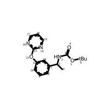 CC(NC(=O)OC(C)(C)C)c1cccc(Oc2ncccn2)c1